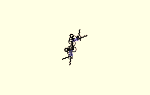 CCCCCCN(/C=C/C=C(/C(=O)OCCOC(=O)/C(=C/C=C/N(CCCCCC)CCCCCC)S(=O)(=O)c1ccccc1)S(=O)(=O)c1ccccc1)CCCCCC